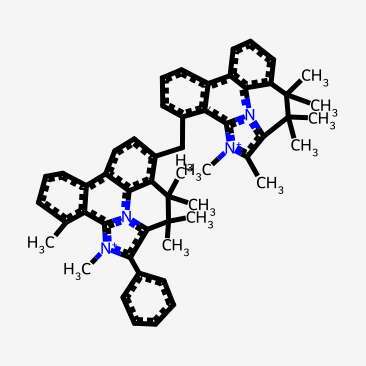 Cc1cccc2c3ccc(Cc4cccc5c6cccc7c6n6c(c(C)[n+](C)c6c45)C(C)(C)C7(C)C)c4c3n3c(c(-c5ccccc5)[n+](C)c3c12)C(C)(C)C4(C)C